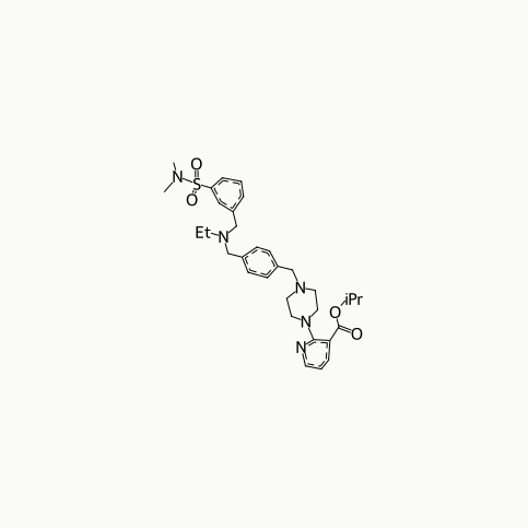 CCN(Cc1ccc(CN2CCN(c3ncccc3C(=O)OC(C)C)CC2)cc1)Cc1cccc(S(=O)(=O)N(C)C)c1